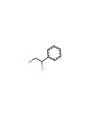 ClC(CI)c1ccccc1